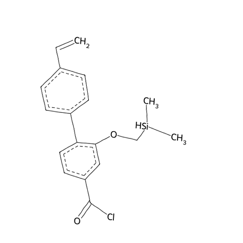 C=Cc1ccc(-c2ccc(C(=O)Cl)cc2OC[SiH](C)C)cc1